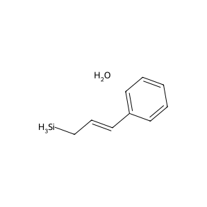 O.[SiH3]CC=Cc1ccccc1